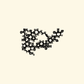 CN1CC[C@H]2CC[C@@H](C(=O)N[C@@H](CCC(N)=O)C(=O)N[C@H](C(=O)N3CCC(CCCC#Cc4cccc5c4CN(C4CCC(=O)NC4=O)C5=O)CC3)c3cccs3)N2C(=O)[C@@H](NC(=O)c2cc3cc(C(F)(F)P(=O)(O)O)ccc3s2)C1